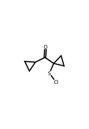 O=C(C1CC1)C1(SCl)CC1